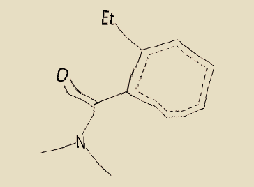 CCc1ccccc1C(=O)N(C)C